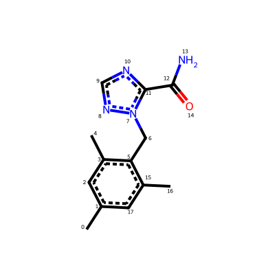 Cc1cc(C)c(Cn2ncnc2C(N)=O)c(C)c1